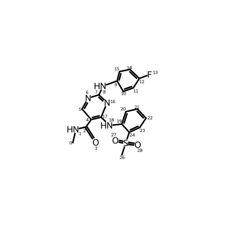 CNC(=O)c1cnc(Nc2ccc(F)cc2)nc1Nc1ccccc1S(C)(=O)=O